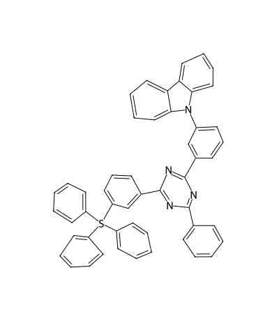 c1ccc(-c2nc(-c3cccc(-n4c5ccccc5c5ccccc54)c3)nc(-c3cccc(S(c4ccccc4)(c4ccccc4)c4ccccc4)c3)n2)cc1